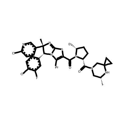 CC[C@@H]1CC[C@H](C(=O)N2C[C@@H](C)NC3(CC3)C2)N1C(=O)C1=C(C(C)C)N2C(=N[C@@](C)(c3ccc(Cl)nc3)[C@H]2c2ccc(Cl)c(F)c2)S1